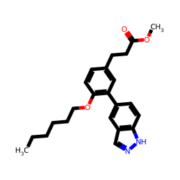 CCCCCCOc1ccc(CCC(=O)OC)cc1-c1ccc2[nH]ncc2c1